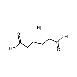 O=C(O)CCCCC(=O)O.[Hf]